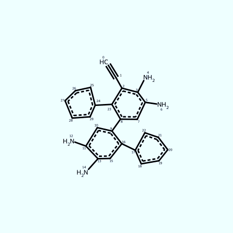 C#Cc1c(N)c(N)cc(-c2cc(N)c(N)cc2-c2ccccc2)c1-c1ccccc1